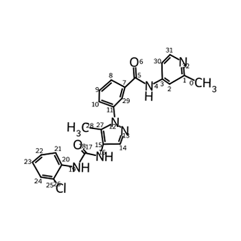 Cc1cc(NC(=O)c2cccc(-n3ncc(NC(=O)Nc4ccccc4Cl)c3C)c2)ccn1